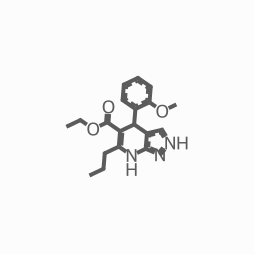 CCCC1=C(C(=O)OCC)C(c2ccccc2OC)c2c[nH]nc2N1